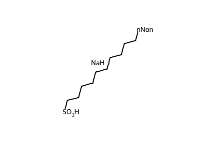 CCCCCCCCCCCCCCCCCCCS(=O)(=O)O.[NaH]